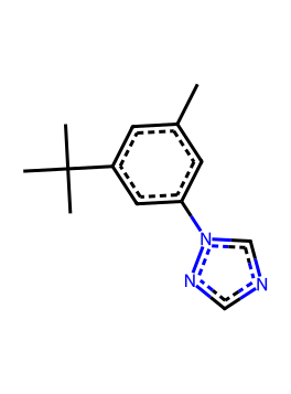 Cc1cc(-n2cncn2)cc(C(C)(C)C)c1